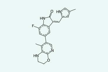 Cc1c[nH]c(C=C2C(=O)Nc3c(F)cc(-c4cnc5c(c4C)NCCO5)cc32)c1